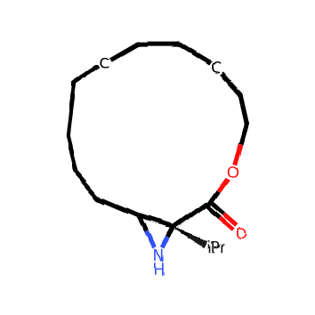 CC(C)[C@@]12NC1CCCCCCCCCCOC2=O